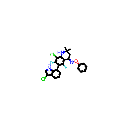 CC1(C)CC(=NOc2ccccc2)c2c(F)c(-c3cccc4c(Cl)c[nH]c34)c(F)c(Cl)c2N1